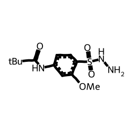 COc1cc(NC(=O)C(C)(C)C)ccc1S(=O)(=O)NN